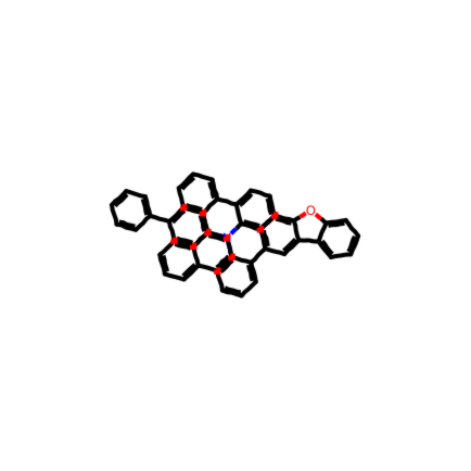 c1ccc(-c2ccc(N(c3ccccc3-c3ccc4oc5ccccc5c4c3)c3ccccc3-c3ccccc3-c3cccc4ccccc34)cc2)cc1